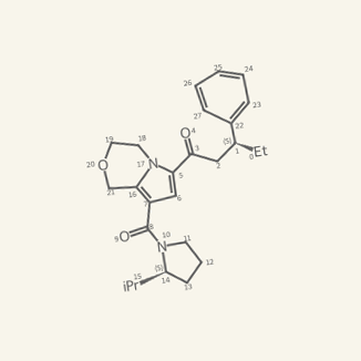 CC[C@@H](CC(=O)c1cc(C(=O)N2CCC[C@H]2C(C)C)c2n1CCOC2)c1ccccc1